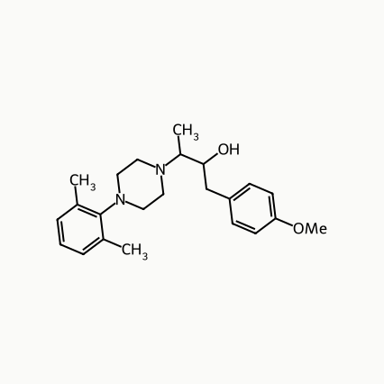 COc1ccc(CC(O)C(C)N2CCN(c3c(C)cccc3C)CC2)cc1